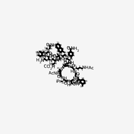 CC(=O)NCCCC[C@@H]1NC(=O)[C@H](Cc2c[nH]c3c(C)cccc23)NC(=O)[C@H]([C@@H](C)O)NC(=O)[C@H](CC(C)C)NC(=O)[C@@H](NC(C)=O)C(C)(C)SSC(C)(C)[C@@H](C(=O)N[C@@H](Cc2ccc(C(N)=O)cc2)C(=O)N[C@@H](Cc2ccc3ccccc3c2)C(=O)NC(C)(CC(C)C)C(=O)N[C@@H](CCC(=O)O)C(=O)N[C@@H](CC(N)=O)C(=O)N[C@@H](Cc2cccnc2)C(=O)N(C)CC(N)=O)NC1=O